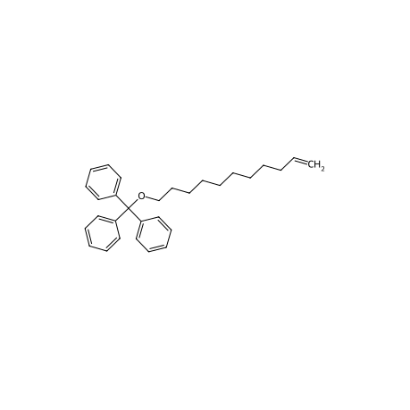 C=CCCCCCCCCCOC(c1ccccc1)(c1ccccc1)c1ccccc1